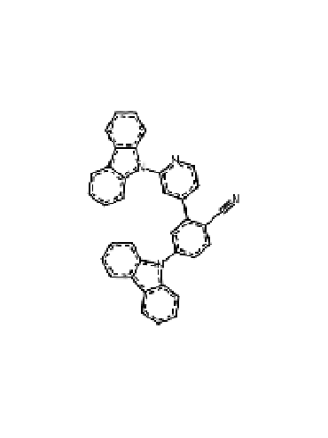 N#Cc1ccc(-n2c3ccccc3c3ccccc32)cc1-c1ccnc(-n2c3ccccc3c3ccccc32)c1